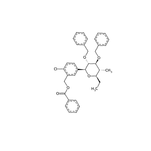 CC[C@H]1O[C@@H](c2ccc(Cl)c(COC(=O)c3ccccc3)c2)[C@H](OCc2ccccc2)[C@@H](OCc2ccccc2)[C@@H]1C